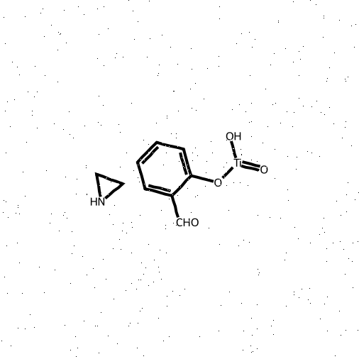 C1CN1.O=Cc1ccccc1[O][Ti](=[O])[OH]